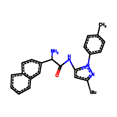 Cc1ccc(-n2nc(C(C)(C)C)cc2NC(=O)C(N)c2ccc3ccccc3c2)cc1